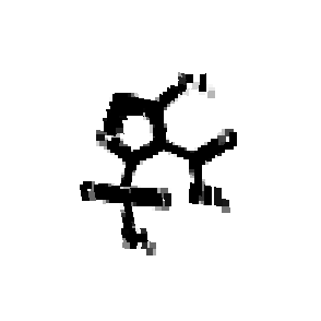 Cc1csc(S(N)(=O)=O)c1C(N)=O